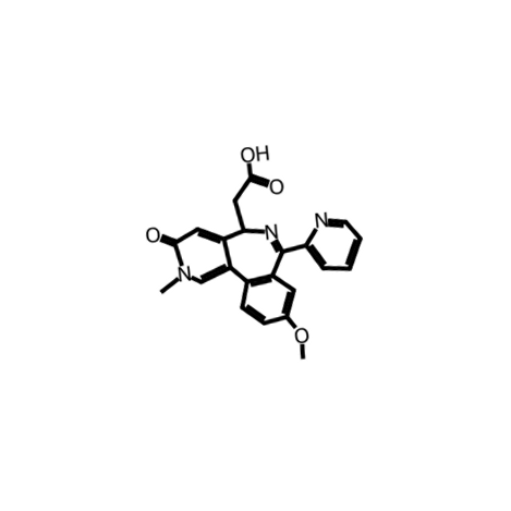 COc1ccc2c(c1)C(c1ccccn1)=NC(CC(=O)O)c1cc(=O)n(C)cc1-2